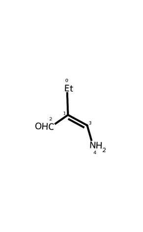 CCC(C=O)=CN